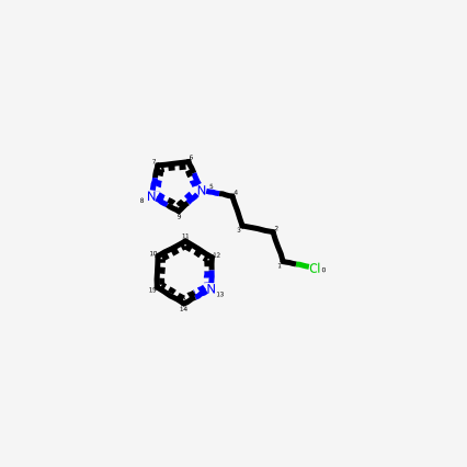 ClCCCCn1ccnc1.c1ccncc1